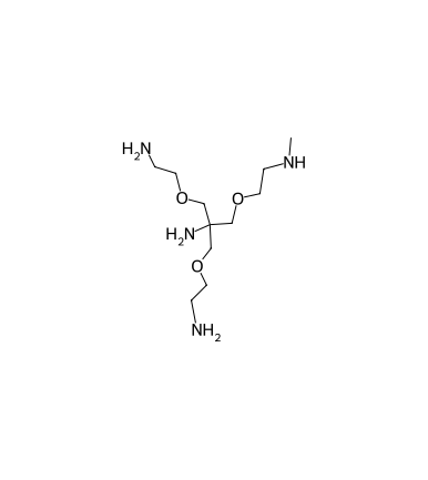 CNCCOCC(N)(COCCN)COCCN